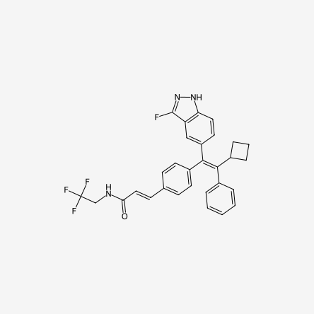 O=C(C=Cc1ccc(/C(=C(\c2ccccc2)C2CCC2)c2ccc3[nH]nc(F)c3c2)cc1)NCC(F)(F)F